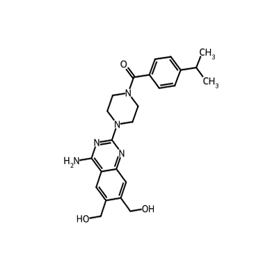 CC(C)c1ccc(C(=O)N2CCN(c3nc(N)c4cc(CO)c(CO)cc4n3)CC2)cc1